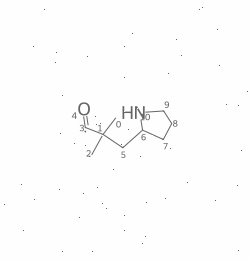 CC(C)([C]=O)CC1CCCN1